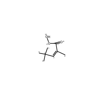 C/C(=C/C(C)(C)C)C(=O)OO